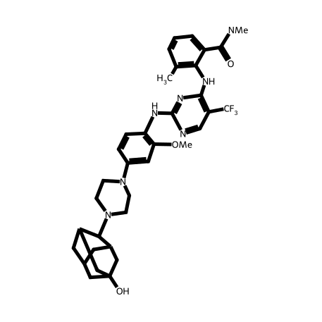 CNC(=O)c1cccc(C)c1Nc1nc(Nc2ccc(N3CCN(C4C5CC6CC4CC(O)(C6)C5)CC3)cc2OC)ncc1C(F)(F)F